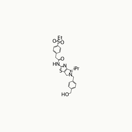 CCS(=O)(=O)c1ccc(CC(=O)Nc2nc3c(s2)CN(Cc2ccc(CO)cc2)[C@H]3C(C)C)cc1